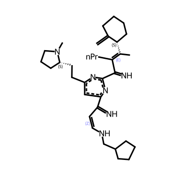 C=C1CCCC[C@@H]1/C(C)=C(\CCC)C(=N)c1nc(CC[C@@H]2CCCN2C)cc(C(=N)/C=C\NCC2CCCC2)n1